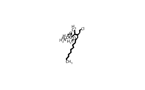 CCCCCCCCCCCC(CCCl)C(CC)[Si](OC)(OC)OC.N